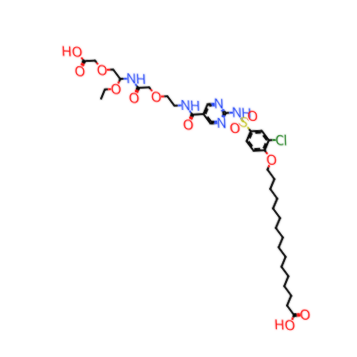 CCOC(COCC(=O)O)NC(=O)COCCNC(=O)c1cnc(NS(=O)(=O)c2ccc(OCCCCCCCCCCCCCCCC(=O)O)c(Cl)c2)nc1